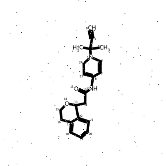 C#CC(C)(C)N1C=CC(NC(=O)CC2OCCc3ccccc32)=CC1